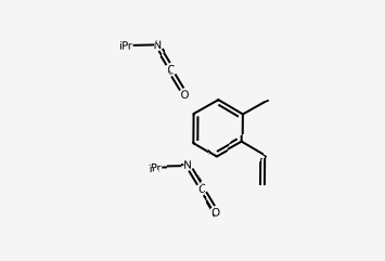 C=Cc1ccccc1C.CC(C)N=C=O.CC(C)N=C=O